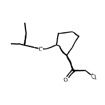 CC(C)CC1CCC1C(=O)Cl